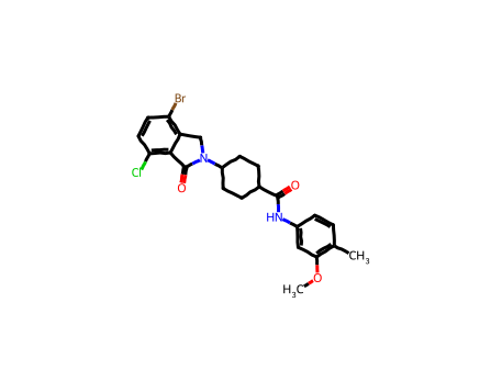 COc1cc(NC(=O)C2CCC(N3Cc4c(Br)ccc(Cl)c4C3=O)CC2)ccc1C